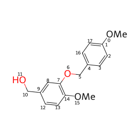 COc1ccc(COc2cc(CO)ccc2OC)cc1